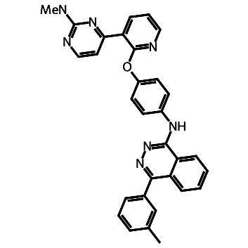 CNc1nccc(-c2cccnc2Oc2ccc(Nc3nnc(-c4cccc(C)c4)c4ccccc34)cc2)n1